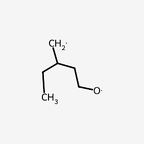 [CH2]C(CC)CC[O]